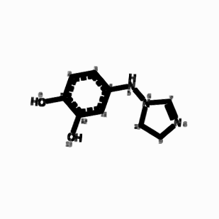 Oc1ccc(NN2C=NCC2)cc1O